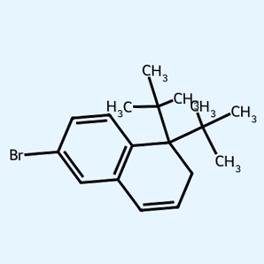 CC(C)(C)C1(C(C)(C)C)CC=Cc2cc(Br)ccc21